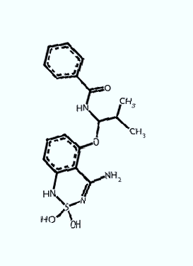 CC(C)C(NC(=O)c1ccccc1)Oc1cccc2c1C(N)=NS(O)(O)N2